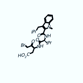 CC(C)Cc1c(C(=O)N[C@H](C(=O)NC(CC(=O)O)C(=O)CBr)C(C)C)n(C)c2ccccc12